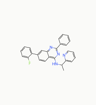 CC(Nc1nc(-c2ccccc2)nc2cc(-c3ccccc3F)ccc12)c1ccccn1